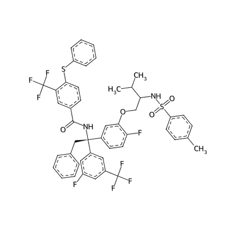 Cc1ccc(S(=O)(=O)NC(COc2cc([C@@](Cc3ccccc3)(NC(=O)c3ccc(Sc4ccccc4)c(C(F)(F)F)c3)c3cc(F)cc(C(F)(F)F)c3)ccc2F)C(C)C)cc1